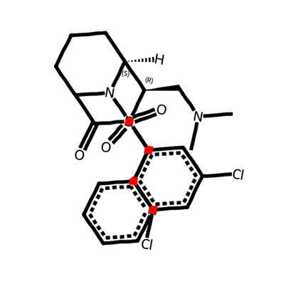 CN(C)C[C@@H]1[C@@H]2CCCC(C(=O)N1Cc1ccccn1)N2S(=O)(=O)c1cc(Cl)cc(Cl)c1